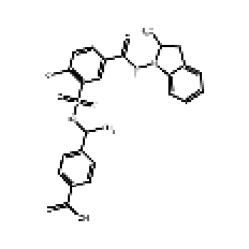 CC(NS(=O)(=O)c1cc(C(=O)NN2c3ccccc3CC2C)ccc1Cl)c1ccc(C(=O)O)cc1